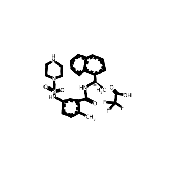 Cc1ccc(NS(=O)(=O)N2CCNCC2)cc1C(=O)N[C@H](C)c1cccc2ccccc12.O=C(O)C(F)(F)F